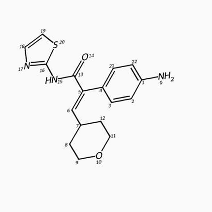 Nc1ccc(/C(=C\C2CCOCC2)C(=O)Nc2nccs2)cc1